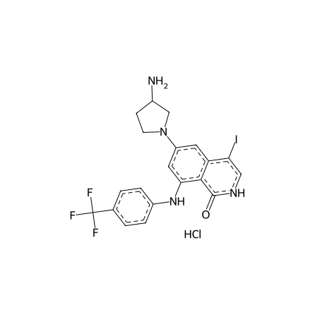 Cl.NC1CCN(c2cc(Nc3ccc(C(F)(F)F)cc3)c3c(=O)[nH]cc(I)c3c2)C1